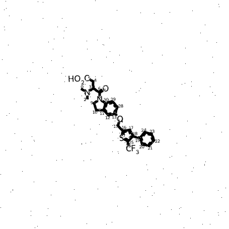 CN(C)C(CC(=O)O)C(=O)N1CCc2cc(OCc3cc(-c4ccccc4)c(C(F)(F)F)s3)ccc21